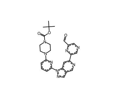 CC(C)(C)OC(=O)N1CCN(c2cccc(-n3ncc4cnc(-c5cncc(C=O)n5)cc43)n2)CC1